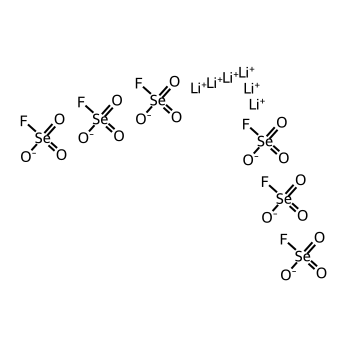 O=[Se](=O)([O-])F.O=[Se](=O)([O-])F.O=[Se](=O)([O-])F.O=[Se](=O)([O-])F.O=[Se](=O)([O-])F.O=[Se](=O)([O-])F.[Li+].[Li+].[Li+].[Li+].[Li+].[Li+]